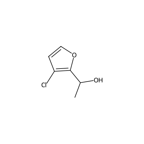 CC(O)c1occc1Cl